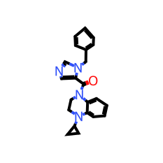 O=C(c1cncn1Cc1ccccc1)N1CCN(C2CC2)c2ccccc21